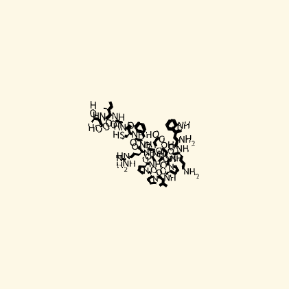 CC[C@H](C)[C@H](NC(=O)CNC(=O)[C@H](CS)NC(=O)[C@H](Cc1ccccc1)NC(=O)[C@H](CCCNC(=N)N)NC(=O)[C@H](CCC(=O)O)NC(=O)[C@H](CC(=O)O)NC(=O)[C@@H]1CCCN1C(=O)[C@@H]1CCCN1C(=O)[C@@H](NC(=O)[C@@H]1CCCN1C(=O)[C@H](CCC(=O)O)NC(=O)[C@H](CCCCN)NC(=O)[C@@H](N)Cc1c[nH]c2ccccc12)C(C)C)C(=O)N[C@H](C(=O)O)[C@@H](C)O